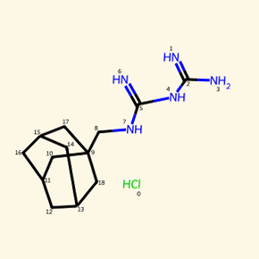 Cl.N=C(N)NC(=N)NCC12CC3CC(CC(C3)C1)C2